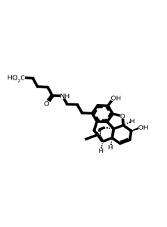 CN1CC[C@]23c4c5c(CCCNC(=O)CCCC(=O)O)cc(O)c4O[C@H]2[C@@H](O)C=C[C@H]3[C@H]1C5